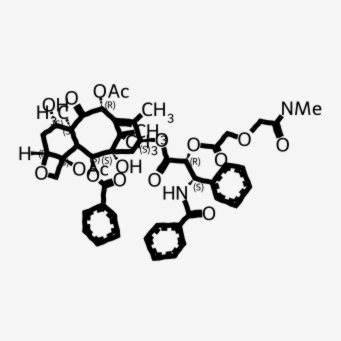 CNC(=O)COCC(=O)O[C@@H](C(=O)O[C@H]1C[C@@]2(O)[C@@H](OC(=O)c3ccccc3)C3[C@](C)(C(=O)[C@H](OC(C)=O)C(=C1C)C2(C)C)[C@@H](O)C[C@H]1OC[C@@]31OC(C)=O)[C@@H](NC(=O)c1ccccc1)c1ccccc1